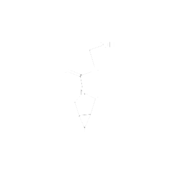 O=C(OCO)N1CC2CC2C1